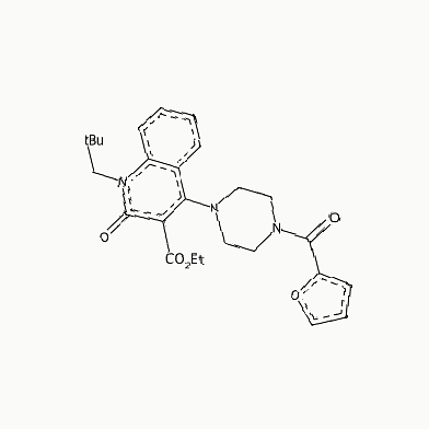 CCOC(=O)c1c(N2CCN(C(=O)c3ccco3)CC2)c2ccccc2n(CC(C)(C)C)c1=O